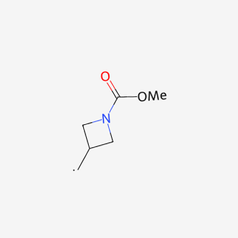 [CH2]C1CN(C(=O)OC)C1